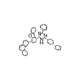 c1ccc(C2=NC(c3ccc(-c4ccc5ccc6ccccc6c5c4)c4oc5ccccc5c34)NC(c3ccc(-c4ccccc4)cc3)=N2)cc1